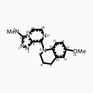 CNc1nnc2c(N3CCCc4cc(OC)ccc43)nccn12